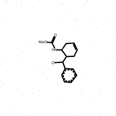 COC(=O)NC1CC=CCC1C(Cl)c1ccccc1